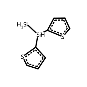 [SiH3][SiH](c1cccs1)c1cccs1